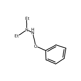 CCN(CC)NOc1ccccc1